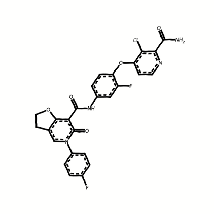 NC(=O)c1nccc(Oc2ccc(NC(=O)c3c4c(cn(-c5ccc(F)cc5)c3=O)CCO4)cc2F)c1Cl